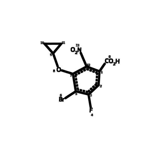 O=C(O)c1cc(F)c(Br)c(OC2CC2)c1[N+](=O)[O-]